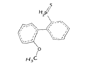 COc1ccccc1-c1ccccc1[PH2]=S